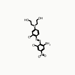 Bc1cc([N+](=O)[O-])cc(Cl)c1/N=N/c1ccc(N(CCO)CCO)cc1Cl